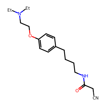 CCN(CC)CCOc1ccc(CCCCNC(=O)CC#N)cc1